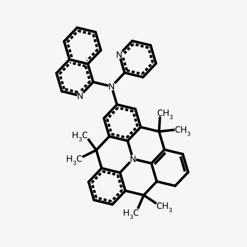 CC1(C)C2=C3C(CC=C2)C(C)(C)c2cccc4c2N3c2c1cc(N(c1ccccn1)c1nccc3ccccc13)cc2C4(C)C